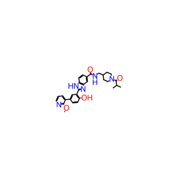 COc1ncccc1-c1ccc(O)c(-c2nc3cc(C(=O)NCC4CCN(C(=O)C(C)C)CC4)ccc3[nH]2)c1